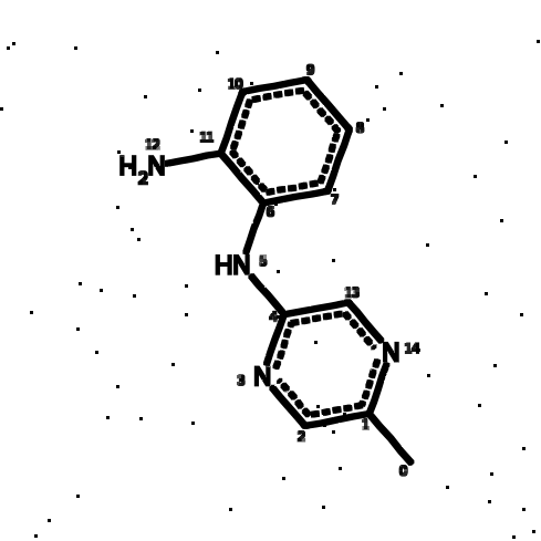 Cc1cnc(Nc2ccccc2N)cn1